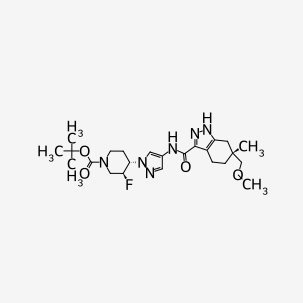 COC[C@]1(C)CCc2c(C(=O)Nc3cnn([C@H]4CCN(C(=O)OC(C)(C)C)C[C@@H]4F)c3)n[nH]c2C1